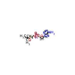 CCC(C)(C)C(=O)SCCO[PH](=O)OC[C@H]1CC[C@@H](n2cnc3c(N)ncnc32)O1